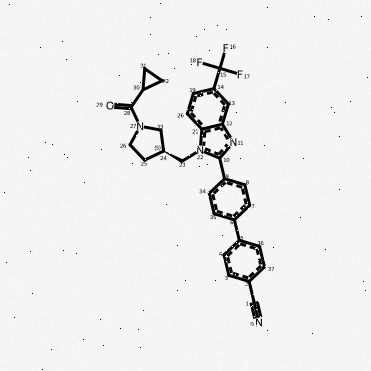 N#Cc1ccc(-c2ccc(-c3nc4cc(C(F)(F)F)ccc4n3C[C@H]3CCN(C(=O)C4CC4)C3)cc2)cc1